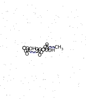 C/C=C/C=C/C1=C(O)OC2(CCC3(CC2)OC(=O)C(=C/C=C/C=C/C2=C(O)OC4(CCCCC4)OC2=O)C(=O)O3)OC1=O